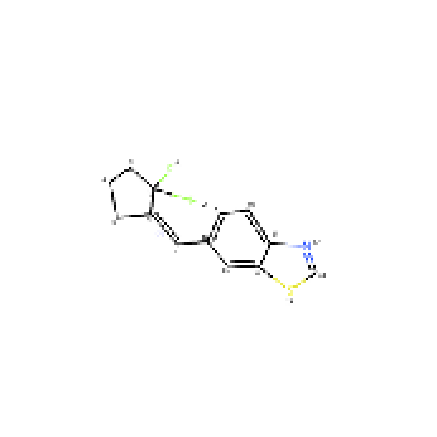 FC1(F)[CH]CC/C1=C/c1ccc2ncsc2c1